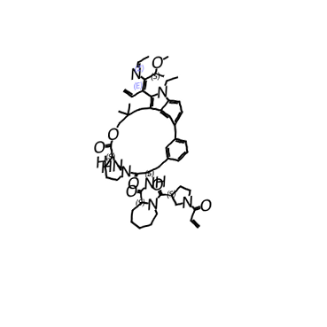 C=CC(=O)N1CC[C@H](C(=O)N2CCCCC[C@H]2C(=O)N[C@H]2Cc3cccc(c3)-c3ccc4c(c3)c(c(/C(C=C)=C(/N=C\C)[C@H](C)OC)n4CC)CC(C)(C)COC(=O)[C@@H]3CCCN(N3)C2=O)C1